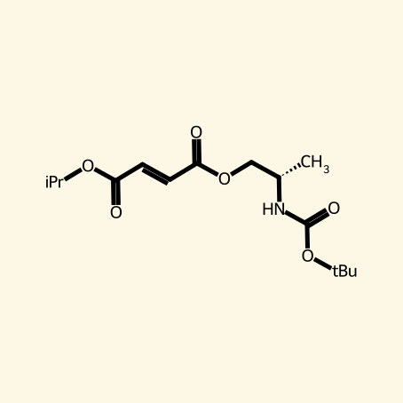 CC(C)OC(=O)/C=C/C(=O)OC[C@H](C)NC(=O)OC(C)(C)C